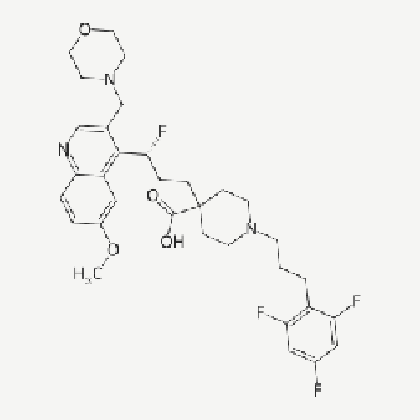 COc1ccc2ncc(CN3CCOCC3)c([C@H](F)CCC3(C(=O)O)CCN(CCCc4c(F)cc(F)cc4F)CC3)c2c1